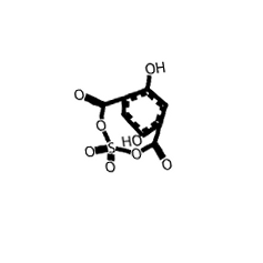 O=C1OS(=O)(=O)OC(=O)c2cc(O)c1cc2O